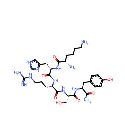 N=C(N)NCCC[C@H](NC(=O)[C@H](Cc1c[nH]cn1)NC(=O)[C@@H](N)CCCCN)C(=O)N[C@@H](CO)C(=O)N[C@@H](Cc1ccc(O)cc1)C(N)=O